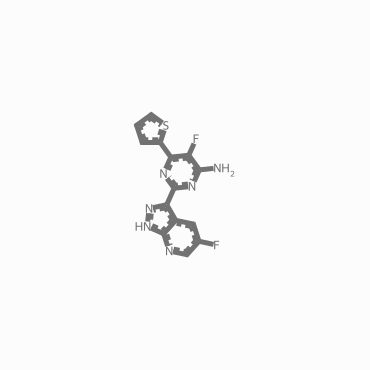 Nc1nc(-c2n[nH]c3ncc(F)cc23)nc(-c2cccs2)c1F